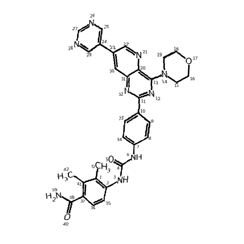 Cc1c(NC(=O)Nc2ccc(-c3nc(N4CCOCC4)c4ncc(-c5cncnc5)cc4n3)cc2)ccc(C(N)=O)c1C